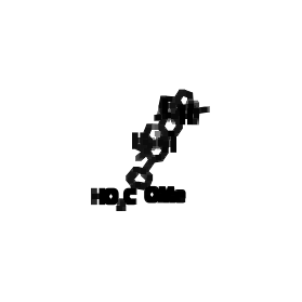 C=C(C)[C@@H]1CCC2CC[C@@]3(C)C4CC[C@H]5C(C)(C)C(c6ccc(C(=O)O)c(OC)c6)=CC[C@]5(C)[C@H]4CC[C@@H]3[C@H]21